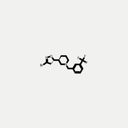 FC(F)(F)c1cccc(CN2CCC[C@H]([C@@H]3CC(Br)=NO3)C2)c1